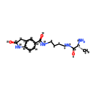 C[C@@H](N)C(=O)NCCCCNC(=O)c1ccc2c(c1)CC(=O)N2